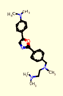 CN(C)CCN(C)Cc1ccc(-c2ncc(-c3ccc(N(C)C)cc3)o2)cc1